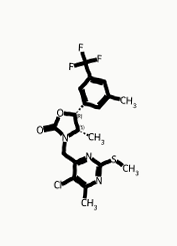 CSc1nc(C)c(Cl)c(CN2C(=O)O[C@H](c3cc(C)cc(C(F)(F)F)c3)[C@@H]2C)n1